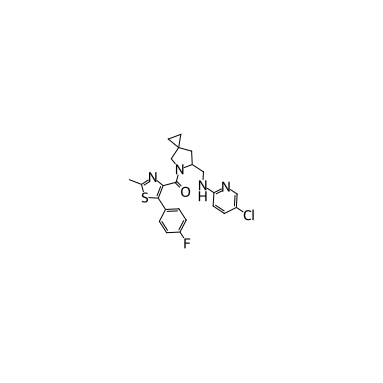 Cc1nc(C(=O)N2CC3(CC3)CC2CNc2ccc(Cl)cn2)c(-c2ccc(F)cc2)s1